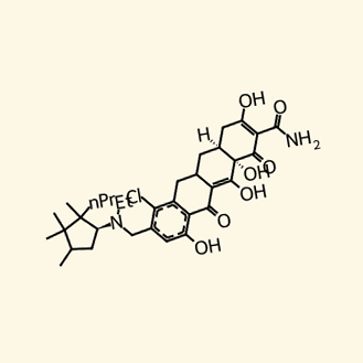 CCCC1(C)[C@@H](N(CC)Cc2cc(O)c3c(c2Cl)CC2C[C@H]4CC(O)=C(C(N)=O)C(=O)[C@@]4(O)C(O)=C2C3=O)CC(C)C1(C)C